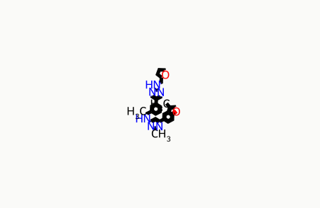 Cc1nc(N[C@@H](C)c2cccc(-c3cnc(NCC4CCCO4)nc3)c2)cc(-c2ccc3occ(C)c3c2)n1